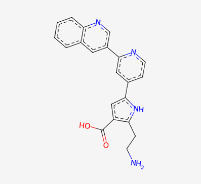 NCCc1[nH]c(-c2ccnc(-c3cnc4ccccc4c3)c2)cc1C(=O)O